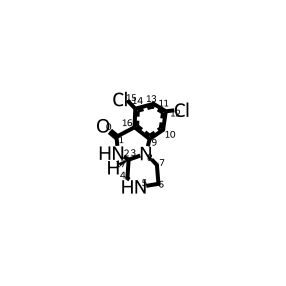 O=C1N[C@H]2CNCCN2c2cc(Cl)cc(Cl)c21